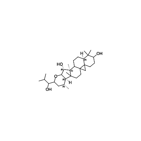 CC(C)C(O)C1C[C@@H](C)[C@H]2C(O1)[C@H](O)[C@@]1(C)C3CC[C@H]4C(C)(C)C(O)CCC45CC35CCC21C